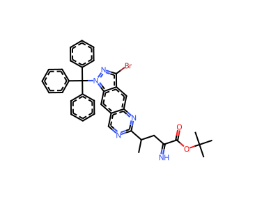 CC(CC(=N)C(=O)OC(C)(C)C)c1ncc2cc3c(cc2n1)c(Br)nn3C(c1ccccc1)(c1ccccc1)c1ccccc1